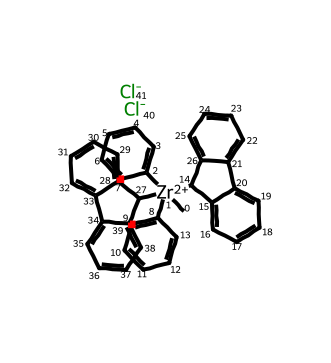 [CH3][Zr+2]([c]1ccccc1)([c]1ccccc1)([CH]1c2ccccc2-c2ccccc21)[CH]1c2ccccc2-c2ccccc21.[Cl-].[Cl-]